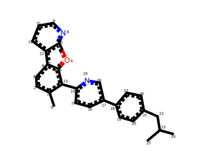 Cc1ccc2c(oc3ncccc32)c1-c1ccc(-c2ccc(CC(C)C)cc2)cn1